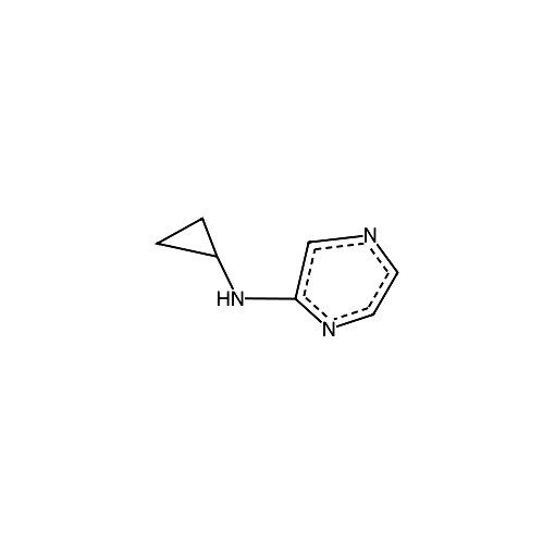 c1cnc(NC2CC2)cn1